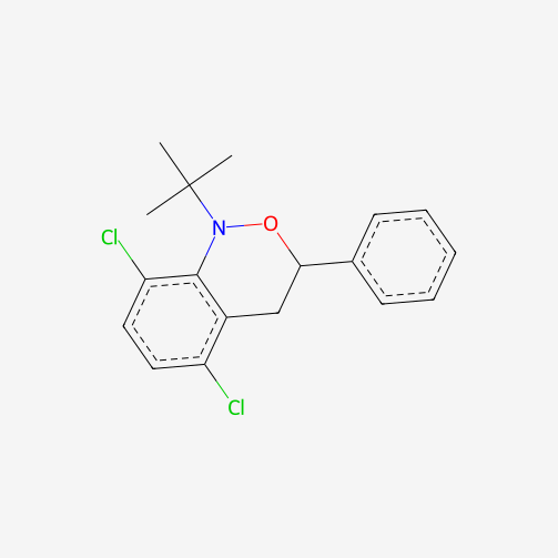 CC(C)(C)N1OC(c2ccccc2)Cc2c(Cl)ccc(Cl)c21